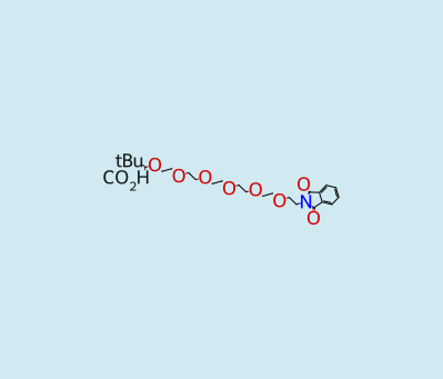 CC(C)(C)C(OCCOCCOCCOCCOCCOCCN1C(=O)c2ccccc2C1=O)C(=O)O